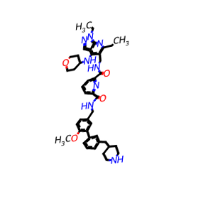 CCc1nc2c(cnn2CC)c(NC2CCOCC2)c1CNC(=O)c1cccc(C(=O)NCc2ccc(OC)c(-c3cccc(CC4CCNCC4)c3)c2)n1